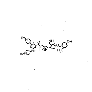 CC(=O)N1CCC(Nc2cc(C(=O)NC[C@@H](O)CCc3ccc(OCC4=CCC(O)=CC=C4C)cc3CN)nc(N3CCN(C(C)C)CC3)n2)CC1